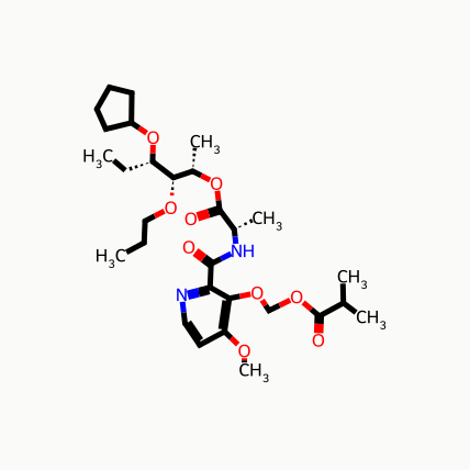 CCCO[C@@H]([C@H](C)OC(=O)[C@H](C)NC(=O)c1nccc(OC)c1OCOC(=O)C(C)C)[C@H](CC)OC1CCCC1